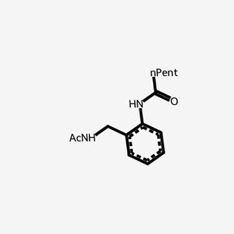 CCCCCC(=O)Nc1ccccc1CNC(C)=O